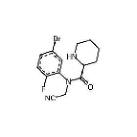 N#CCN(C(=O)C1CCCCN1)c1cc(Br)ccc1F